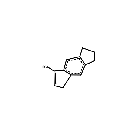 CCC(C)C1=C[CH]c2cc3c(cc21)CCC3